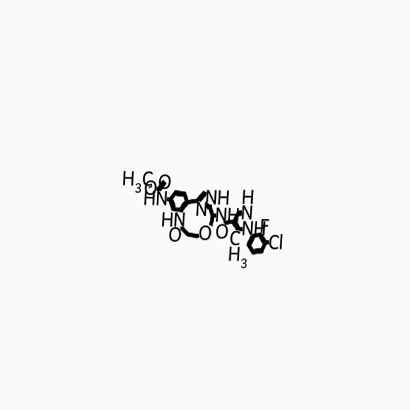 COC(=O)Nc1ccc2c(c1)NC(=O)CCOCC(NC(=O)/C(C=N)=C(\C)Nc1cccc(Cl)c1F)c1nc-2c[nH]1